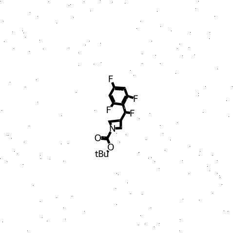 CC(C)(C)OC(=O)N1CC(C(F)c2c(F)cc(F)cc2F)C1